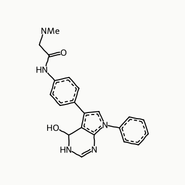 CNCC(=O)Nc1ccc(-c2cn(-c3ccccc3)c3c2C(O)NC=N3)cc1